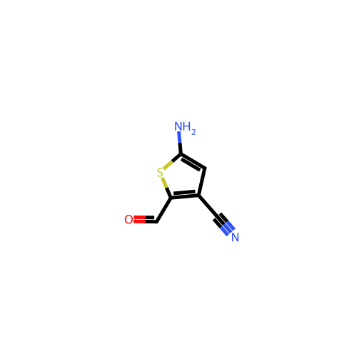 N#Cc1cc(N)sc1C=O